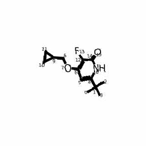 CC(C)(C)c1cc(OCC2CC2)c(F)c(=O)[nH]1